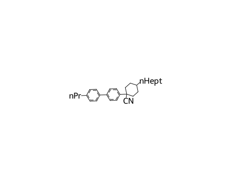 CCCCCCCC1CCC(C#N)(c2ccc(-c3ccc(CCC)cc3)cc2)CC1